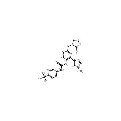 Cn1cnc(-c2cc(CN3CCNC3=O)ccc2OC(=O)Nc2ccc(C(F)(F)F)cc2)c1